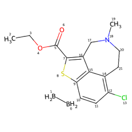 BB.CCOC(=O)c1sc2ccc(Cl)c3c2c1CN(C)CC3